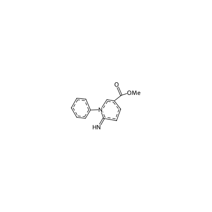 COC(=O)c1ccc(=N)n(-c2ccccc2)c1